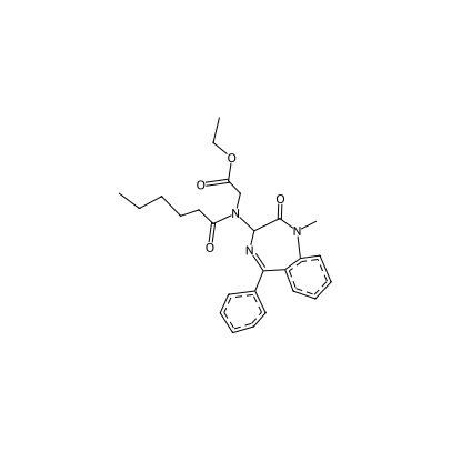 CCCCCC(=O)N(CC(=O)OCC)C1N=C(c2ccccc2)c2ccccc2N(C)C1=O